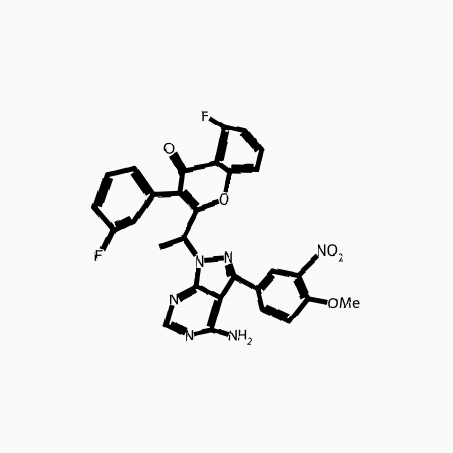 COc1ccc(-c2nn(C(C)c3oc4cccc(F)c4c(=O)c3-c3cccc(F)c3)c3ncnc(N)c23)cc1[N+](=O)[O-]